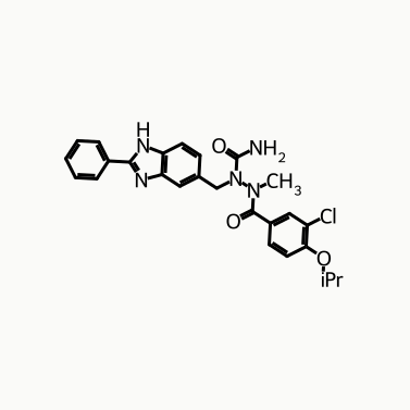 CC(C)Oc1ccc(C(=O)N(C)N(Cc2ccc3[nH]c(-c4ccccc4)nc3c2)C(N)=O)cc1Cl